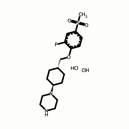 CS(=O)(=O)c1ccc(OC[C@H]2CC[C@H](N3CCNCC3)CC2)c(F)c1.Cl.Cl